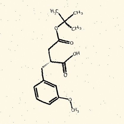 COc1cccc(C[C@H](CC(=O)OC(C)(C)C)C(=O)O)c1